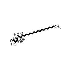 CCCCCCCCCCCCCCCCCC(=O)C(O)C(O)[C@H]1OC(=O)C(O)=C1O